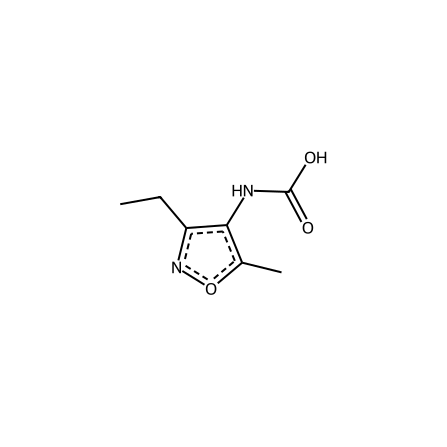 CCc1noc(C)c1NC(=O)O